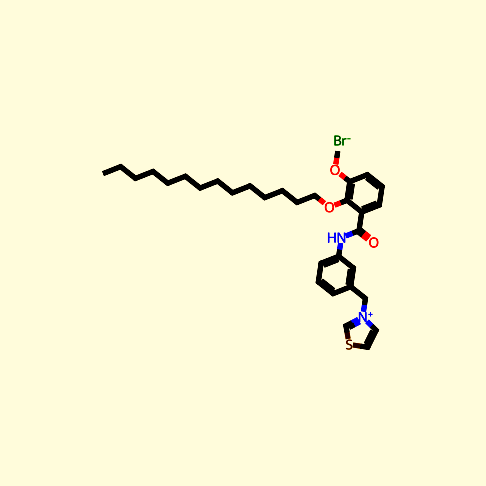 CCCCCCCCCCCCCCOc1c(OC)cccc1C(=O)Nc1cccc(C[n+]2ccsc2)c1.[Br-]